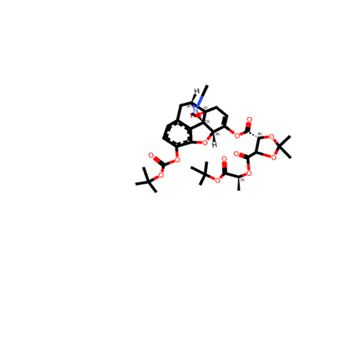 C[C@H](OC(=O)C1OC(C)(C)O[C@H]1C(=O)OC1=CC[C@@]2(O)[C@H]3Cc4ccc(OC(=O)OC(C)(C)C)c5c4[C@@]2(CCN3C)[C@H]1O5)C(=O)OC(C)(C)C